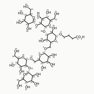 O=C(O)CCCO[C@@H]1OC(CO[C@H]2OC(CO[C@H]3OC(CO)[C@@H](O)[C@H](O)C3O[C@H]3OC(CO)[C@@H](O)[C@H](O)C3O)[C@@H](O)[C@H](O)C2O)[C@@H](O)[C@H](O[C@H]2OC(CO)[C@@H](O)[C@H](O)C2O[C@H]2OC(CO)[C@@H](O)[C@H](O)C2O)C1O